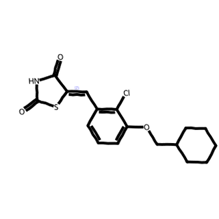 O=C1NC(=O)/C(=C/c2cccc(OCC3CCCCC3)c2Cl)S1